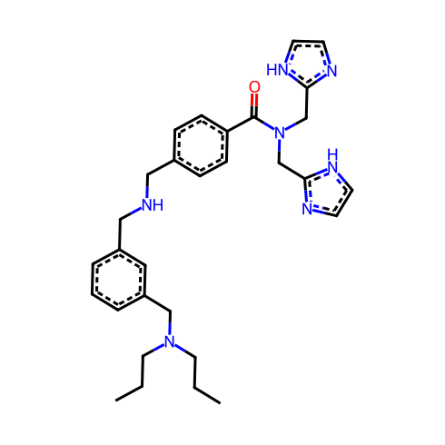 CCCN(CCC)Cc1cccc(CNCc2ccc(C(=O)N(Cc3ncc[nH]3)Cc3ncc[nH]3)cc2)c1